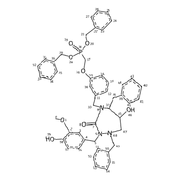 COc1cc(CN2C(=O)N(Cc3cccc(OCP(=O)(OCc4ccccc4)OCc4ccccc4)c3)C(Cc3ccccc3)C(O)CN2Cc2ccccc2)ccc1O